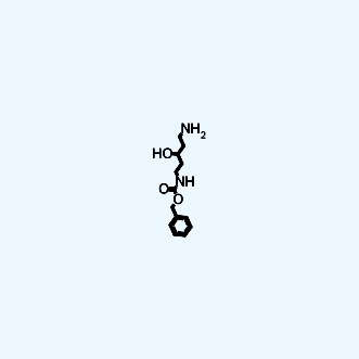 NCCC(O)CCNC(=O)OCc1ccccc1